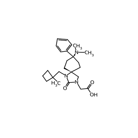 CN(C)[C@]1(c2ccccc2)CC[C@@]2(CC1)CN(CC(=O)O)C(=O)N2CC1(C)CCC1